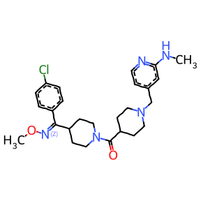 CNc1cc(CN2CCC(C(=O)N3CCC(/C(=N/OC)c4ccc(Cl)cc4)CC3)CC2)ccn1